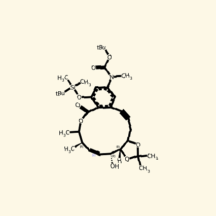 CC1OC(=O)c2c(cc(N(C)C(=O)OC(C)(C)C)cc2O[Si](C)(C)C(C)(C)C)C#CCC2OC(C)(C)O[C@@H]2[C@H](O)/C=C\[C@H]1C